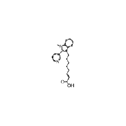 Cn1c(-c2cccnc2)c(CCCCCC=CC(=O)O)c2ccccc21